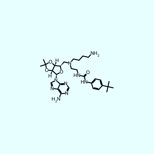 CC1(C)O[C@@H]2[C@H](O1)[C@@H](CN(CCCCN)CCNC(=O)Nc1ccc(C(C)(C)C)cc1)O[C@H]2n1cnc2c(N)ncnc21